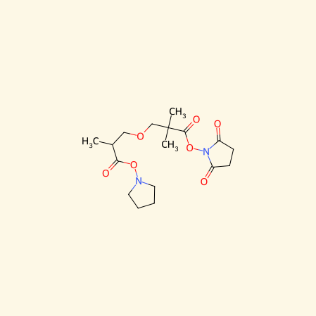 CC(COCC(C)(C)C(=O)ON1C(=O)CCC1=O)C(=O)ON1CCCC1